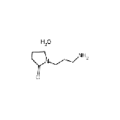 NCCCN1CCCC1=O.O